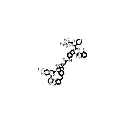 CN[C@@H](C)C(=O)NC(C(=O)N1Cc2ccc(NC(=O)CNC(=O)[C@@]3(C)CN(C(=O)CN4C[C@@H](C)NC[C@@H]4CN4CCOC[C@H]4C)c4cc(Cc5ccc(F)cc5)ccc43)cc2[C@H]1C(=O)Nc1c(F)cccc1F)C1CCOCC1